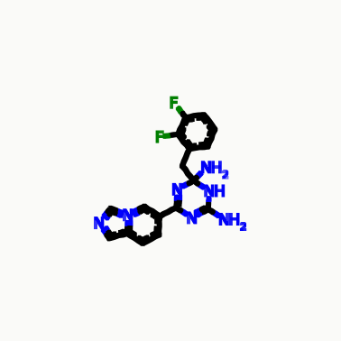 NC1=NC(c2ccc3cncn3c2)=NC(N)(Cc2cccc(F)c2F)N1